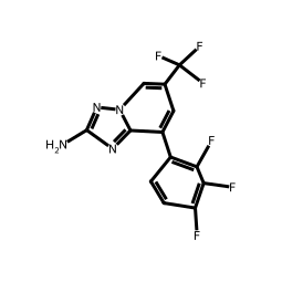 Nc1nc2c(-c3ccc(F)c(F)c3F)cc(C(F)(F)F)cn2n1